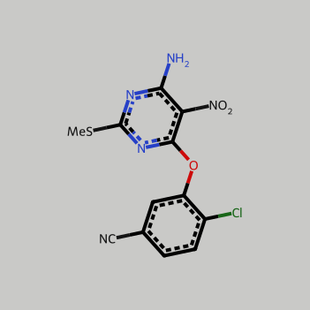 CSc1nc(N)c([N+](=O)[O-])c(Oc2cc(C#N)ccc2Cl)n1